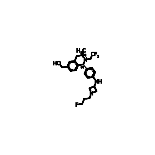 C[C@@H]1Cc2cc(CO)ccc2[C@@H](c2ccc(NC3CN(CCCF)C3)cc2)N1CC(F)(F)F